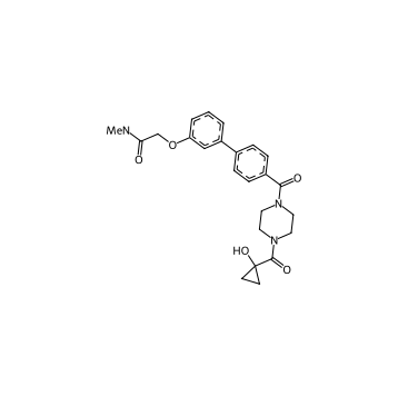 CNC(=O)COc1cccc(-c2ccc(C(=O)N3CCN(C(=O)C4(O)CC4)CC3)cc2)c1